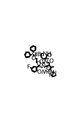 COc1ccc(F)cc1[C@H](Cn1c(=O)n([C@]2(C)CCCNC2=O)c(=O)c2c(C)c(-n3nccn3)sc21)OCCO[Si](c1ccccc1)(c1ccccc1)C(C)(C)C